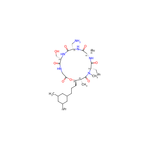 CCCC1CC(C)CC(CCC[C@H]2OC(=O)CNC(=O)[C@H](CO)NC(=O)[C@H](CN)NC(=O)[C@H]([C@H](C)CC)NC(=O)[C@H](CC(C)C)N(C)C(=O)[C@@H]2C)C1